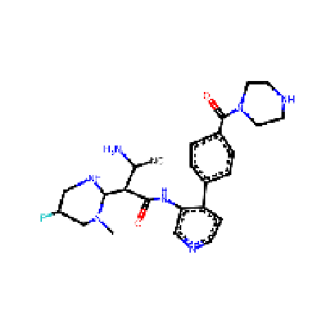 CN1CC(F)CNC1C(C(=O)Nc1cnccc1-c1ccc(C(=O)N2CCNCC2)cc1)C(N)N=O